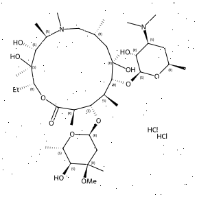 CC[C@H]1OC(=O)[C@H](C)[C@@H](O[C@H]2C[C@@](C)(OC)[C@@H](O)[C@H](C)O2)[C@H](C)[C@@H](O[C@@H]2O[C@H](C)C[C@H](N(C)C)[C@H]2O)[C@](C)(O)C[C@@H](C)CN(C)[C@H](C)[C@@H](O)[C@]1(C)O.Cl.Cl